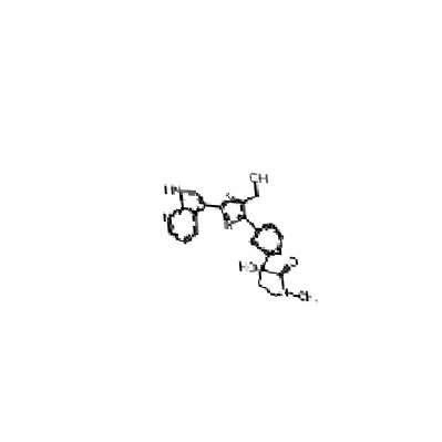 CN1CC[C@@](O)(c2cccc(-c3nc(-c4c[nH]c5ncccc45)sc3CO)c2)C1=O